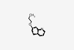 CCCOc1ccc2cccnc2c1